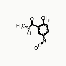 Cc1ccc(N=C=O)cc1C(=O)N(C)Cl